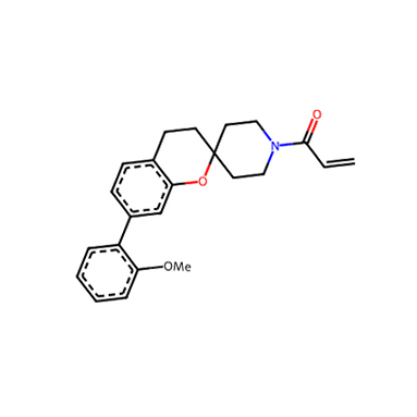 C=CC(=O)N1CCC2(CCc3ccc(-c4ccccc4OC)cc3O2)CC1